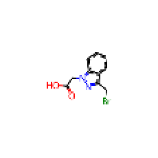 O=C(O)Cn1nc(CBr)c2ccccc21